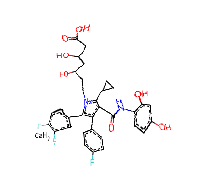 O=C(O)CC(O)CC(O)CCn1c(-c2ccc(F)c(F)c2)c(-c2ccc(F)cc2)c(C(=O)Nc2ccc(O)cc2O)c1C1CC1.[CaH2]